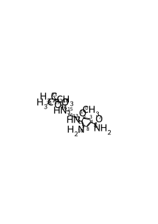 COc1cc(C(N)=O)cc(N)c1NCCCNC(=O)OC(C)(C)C